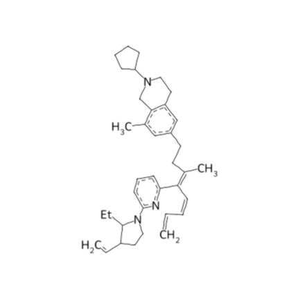 C=C/C=C\C(=C(/C)CCc1cc(C)c2c(c1)CCN(C1CCCC1)C2)c1cccc(N2CCC(C=C)C2CC)n1